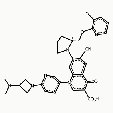 CN(C)C1CN(c2ccc(-n3cc(C(=O)O)c(=O)c4cc(C#N)c(N5CCC[C@@H]5COc5ncccc5F)cc43)cn2)C1